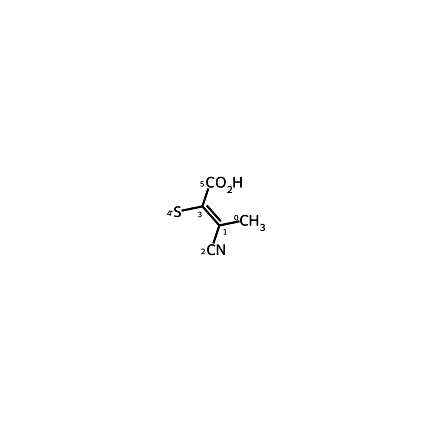 CC(C#N)=C([S])C(=O)O